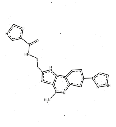 Nc1nc2cc(-c3cc[nH]n3)ccc2c2[nH]c(CCNC(=O)c3cnco3)cc12